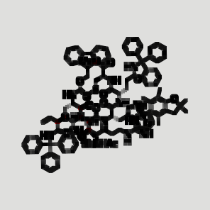 C=CCOC(O)[C@H](CCCSC[C@H](NC(=O)[C@H](CCC(=O)NC(c1ccccc1)(c1ccccc1)c1ccccc1)NC(=O)[C@H](Cc1c[nH]c2ccccc12)NC(=O)[C@@H](NC(=O)[C@H](CCCC(=O)NC(c1ccccc1)(c1ccccc1)c1ccccc1)NC(=O)OCC1c2ccccc2-c2ccccc21)[C@@H](C)OC(C)(C)C)C(=O)OC)NC(=O)[C@@H](CCCNC(=N)NS(=O)(=O)c1c(C)c(C)c2c(c1C)CC(C)(C)O2)NC(C)=O